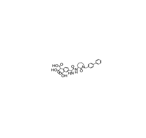 CNC(C(=O)NC1CCCCN(Cc2ccc(-c3ccccc3)cc2)C1=O)c1ccc(C(C(=O)O)C(=O)O)c(C(=O)O)c1